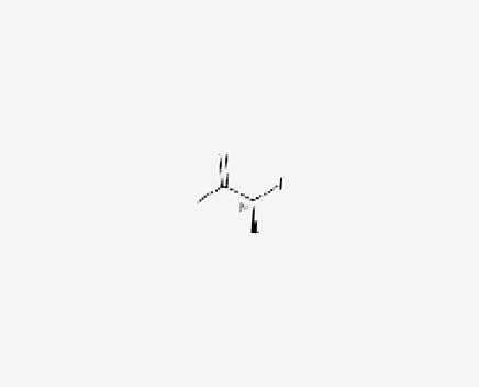 C=C(C)[C@H](C)I